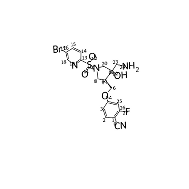 N#Cc1ccc(OC[C@H]2CN(S(=O)(=O)c3ccc(Br)cn3)C[C@@]2(O)CN)cc1F